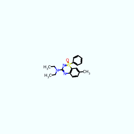 CCN(CC)C1=Nc2ccc(C)cc2S(=O)(c2ccccc2)=N1